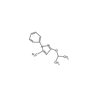 Cc1cc(OC(C)C)nn1-c1ccccc1